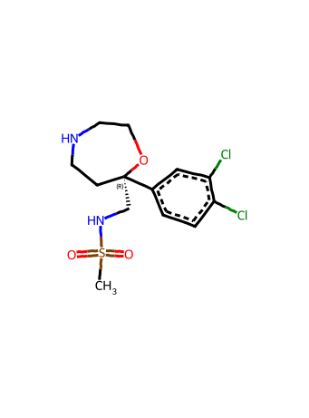 CS(=O)(=O)NC[C@]1(c2ccc(Cl)c(Cl)c2)CCNCCO1